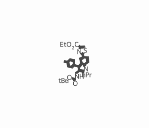 CCCc1nc2ccc(-c3nc(C(=O)OCC)cs3)cc2c(-c2ccc(C)cc2)c1CNC(=O)OC(C)(C)C